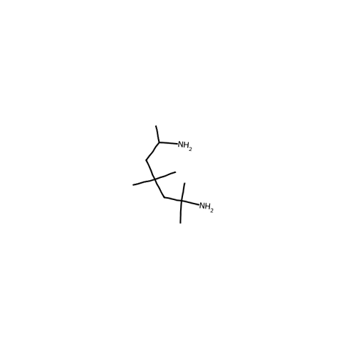 CC(N)CC(C)(C)CC(C)(C)N